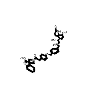 O=C(Cc1ccc(OCc2ccc(CNC[C@H](O)c3ccc(O)c4[nH]c(=O)ccc34)cc2)cc1)N1CC(C(=O)O)(c2ccccc2)C1